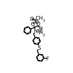 CS(=O)(=O)OC(NCc1ccc(SCc2cccc(F)c2)cc1)(C(N)=O)c1ccccc1